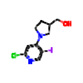 OCC1CCN(c2cc(Cl)ncc2I)C1